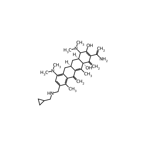 C=C(N)C1=C(O)C(N(C)C)[C@@H]2C[C@@H]3Cc4c(N(C)C)cc(CNCC5CC5)c(C)c4C(=C)C3=C(C)[C@]2(O)C1=C